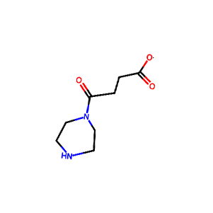 [O]C(=O)CCC(=O)N1CCNCC1